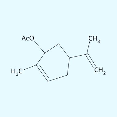 C=C(C)C1CC=C(C)C(OC(C)=O)C1